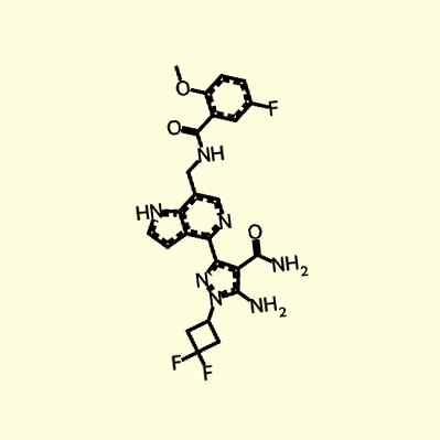 COc1ccc(F)cc1C(=O)NCc1cnc(-c2nn(C3CC(F)(F)C3)c(N)c2C(N)=O)c2cc[nH]c12